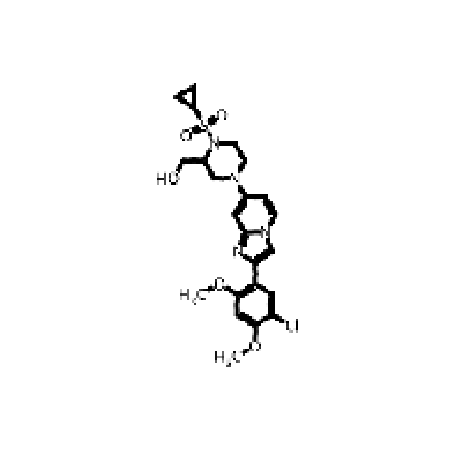 COc1cc(OC)c(-c2cn3ccc(N4CCN(S(=O)(=O)C5CC5)C(CO)C4)cc3n2)cc1Cl